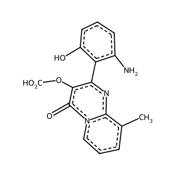 Cc1cccn2c(=O)c(OC(=O)O)c(-c3c(N)cccc3O)nc12